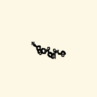 Cc1ccc(C(=O)N2CCC3(CC2)OCc2cc(C#N)ccc23)cc1NC(=O)N(C)CC1CCCO1